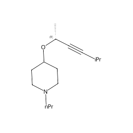 CCCN1CCC(O[C@H](C)C#CC(C)C)CC1